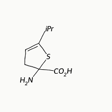 CC(C)C1=CCC(N)(C(=O)O)S1